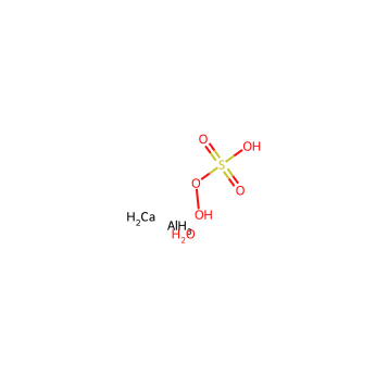 O.O=S(=O)(O)OO.[AlH3].[CaH2]